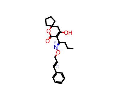 CCC/C(=N\OC/C=C/c1ccccc1)C1=C(O)CC2(CCCC2)OC1=O